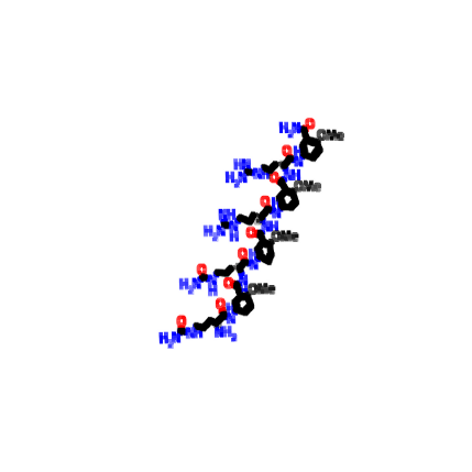 COc1ccc(NC(=O)[C@@H](CCCNC(=N)N)NC(=O)c2cc(NC(=O)[C@@H](CCCNC(=N)N)NC(=O)c3cc(NC(=O)[C@@H](CCCNC(N)=O)NC(=O)c4cc(NC(=O)[C@H](N)CCCNC(N)=O)ccc4OC)ccc3OC)ccc2OC)cc1C(N)=O